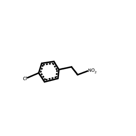 O=[N+]([O-])[CH]Cc1ccc(Cl)cc1